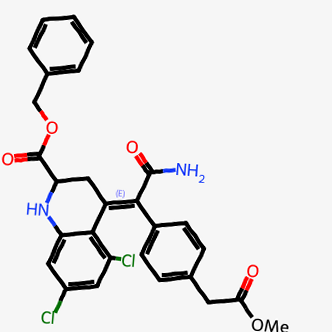 COC(=O)Cc1ccc(/C(C(N)=O)=C2/CC(C(=O)OCc3ccccc3)Nc3cc(Cl)cc(Cl)c32)cc1